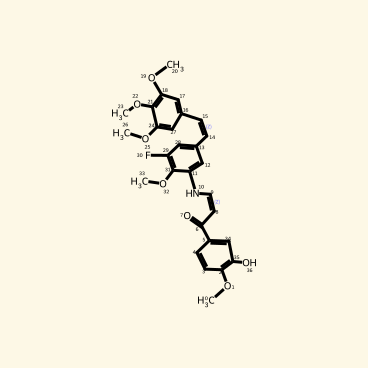 COc1ccc(C(=O)/C=C\Nc2cc(/C=C\c3cc(OC)c(OC)c(OC)c3)cc(F)c2OC)cc1O